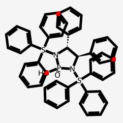 O=P1(O)N(S(c2ccccc2)(c2ccccc2)c2ccccc2)[C@H](c2ccccc2)[C@@H](c2ccccc2)N1S(c1ccccc1)(c1ccccc1)c1ccccc1